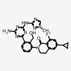 Cn1cnc(Nc2nc(N)nc(-c3cccc(N4CCc5cc(C6CC6)cc(F)c5C4=O)c3CO)n2)n1